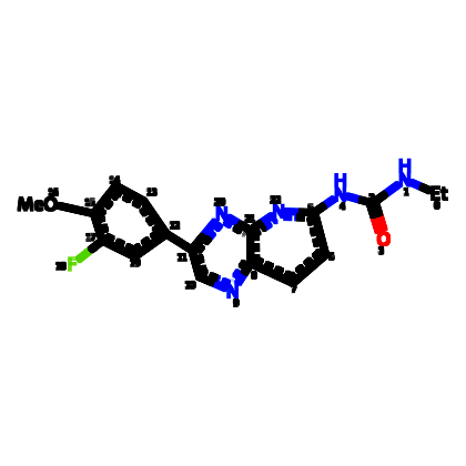 CCNC(=O)Nc1ccc2ncc(-c3ccc(OC)c(F)c3)nc2n1